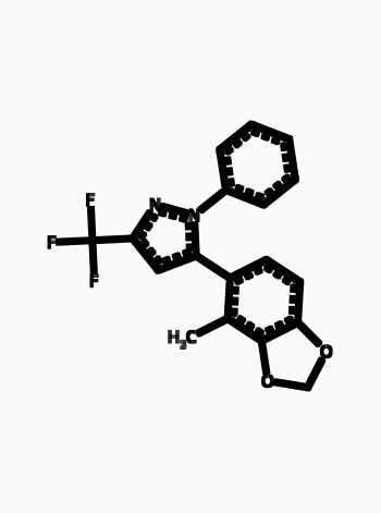 Cc1c(-c2cc(C(F)(F)F)nn2-c2ccccc2)ccc2c1OCO2